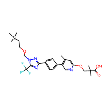 Cc1cc(OCC(C)(C)C(=O)O)ncc1-c1ccc(-c2nc(C(F)(F)F)n(COCC[Si](C)(C)C)n2)cc1